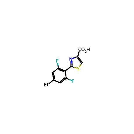 CCc1cc(F)c(-c2nc(C(=O)O)cs2)c(F)c1